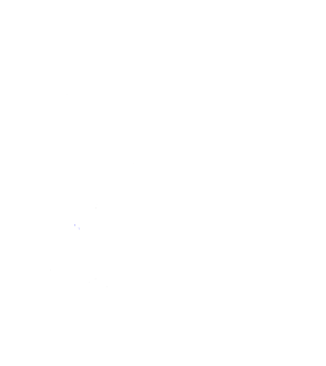 CC(C)(NC(=O)c1ccc2c(c1OCCOc1ccc(F)cc1)CCCC2)C(=O)O